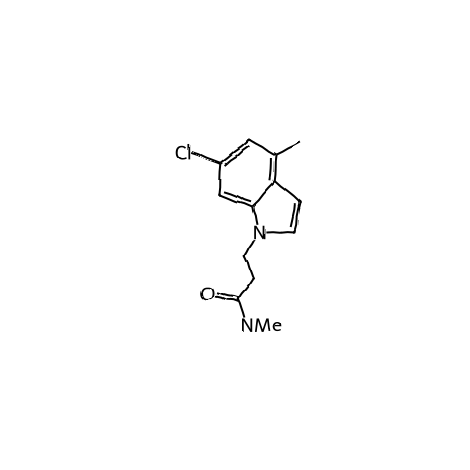 CNC(=O)CCn1ccc2c(C)cc(Cl)cc21